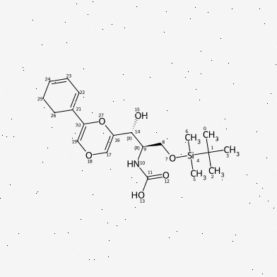 CC(C)(C)[Si](C)(C)OC[C@@H](NC(=O)O)[C@@H](O)C1=COC=C(C2=CC=CCC2)O1